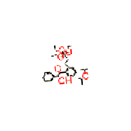 CC(C)OC(C)C.CCO[Si](CCc1ccccc1C(=O)C(O)c1ccccc1)(OCC)OCC